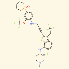 CN1CCC(Nc2cccc3c(CC(F)(F)F)c(C#CCNc4ccc(P5(=O)CCCCC5)cc4OC(F)(F)F)sc23)[C@H](F)C1